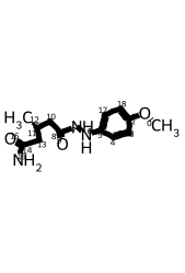 COc1ccc(NNC(=O)[CH][C@H](C)CC(N)=O)cc1